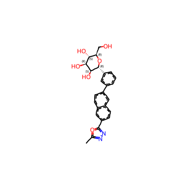 Cc1nnc(-c2ccc3cc(-c4cccc([C@H]5O[C@H](CO)[C@@H](O)[C@H](O)[C@@H]5O)c4)ccc3c2)o1